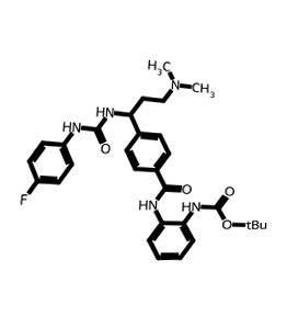 CN(C)CCC(NC(=O)Nc1ccc(F)cc1)c1ccc(C(=O)Nc2ccccc2NC(=O)OC(C)(C)C)cc1